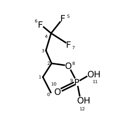 CCC(CC(F)(F)F)OP(=O)(O)O